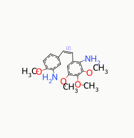 COc1ccc(/C=C\c2cc(OC)c(OC)c(OC)c2N)cc1N